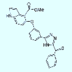 COC(=O)c1c(Oc2cccc(-c3nnc(C(=O)c4ccccc4)[nH]3)c2)ccc2[nH]ccc12